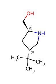 CC(C)(C)[C@H]1CN[C@H](CO)C1